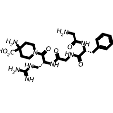 N=C(N)NC[C@@H](NC(=O)CNC(=O)[C@@H](Cc1ccccc1)NC(=O)CN)C(=O)N1CCC(N)(C(=O)O)CC1